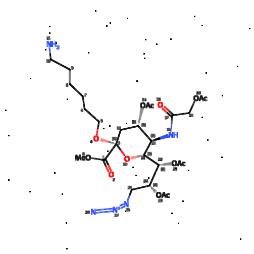 COC(=O)[C@@]1(OCCCCCCN)C[C@H](OC(C)=O)[C@@H](NC(=O)COC(C)=O)[C@H]([C@H](OC(C)=O)[C@@H](CN=[N+]=[N-])OC(C)=O)O1